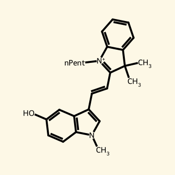 CCCCC[N+]1=C(/C=C/c2cn(C)c3ccc(O)cc23)C(C)(C)c2ccccc21